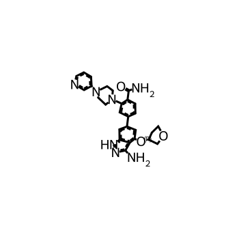 NC(=O)c1ccc(-c2cc(O[C@@H]3CCOC3)c3c(N)n[nH]c3c2)cc1N1CCN(c2cccnc2)CC1